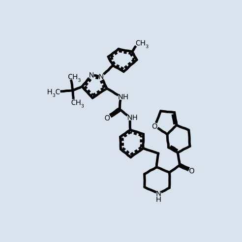 Cc1ccc(-n2nc(C(C)(C)C)cc2NC(=O)Nc2cccc(CC3CCNCC3C(=O)C3=CC4OCC=C4CC3)c2)cc1